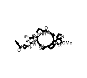 CC#CC(=O)N1CC(N(C)C(=O)N(C)[C@H](C(=O)N[C@H]2Cc3nc(cs3)-c3ccc4c(c3)c(c(-c3cccnc3[C@H](C)OC)n4CC)CC(C)(C)COC(=O)[C@@]3([SiH3])CCCN(N3)C2=O)C(C)C)C1